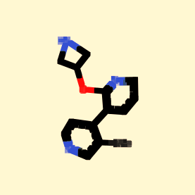 CNc1cnccc1-c1cccnc1OC1CNC1